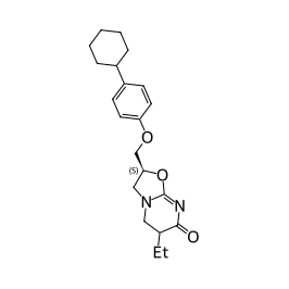 CCC1CN2C[C@@H](COc3ccc(C4CCCCC4)cc3)OC2=NC1=O